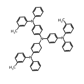 Cc1cccc(N(C2=CCC(N(c3ccc(N(c4ccccc4)c4cccc(C)c4)cc3)c3ccc(N(c4ccccc4)c4cccc(C)c4)cc3)C=C2)c2ccccc2)c1